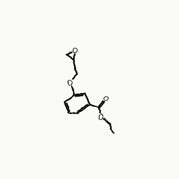 CCOC(=O)c1cccc(OCC2CO2)c1